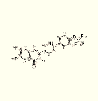 Cc1c(-c2ccc(-c3ccc(OC(F)(F)F)cc3)nc2)[nH]c2cc(F)c(F)cc2c1=O